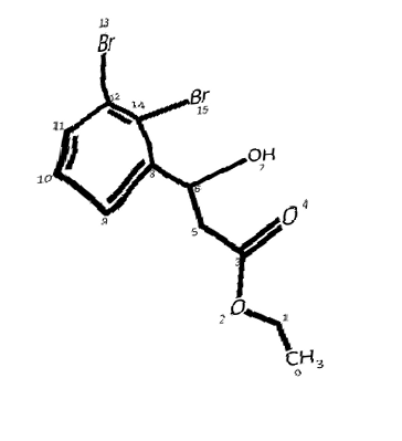 CCOC(=O)CC(O)c1cccc(Br)c1Br